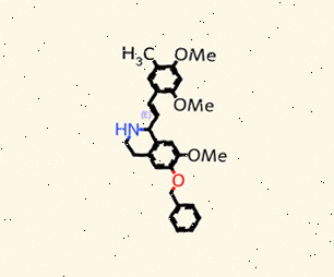 COc1cc(OC)c(/C=C/C2NCCc3cc(OCc4ccccc4)c(OC)cc32)cc1C